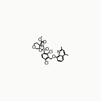 COC(=O)C1(NS(=O)(=O)c2ccc(Cl)c(COc3cccc4c(C)cc(C)nc34)c2Cl)CCOCC1